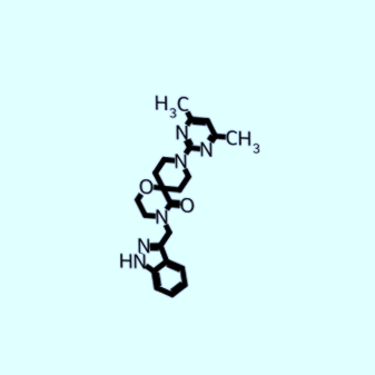 Cc1cc(C)nc(N2CCC3(CC2)OCCN(Cc2n[nH]c4ccccc24)C3=O)n1